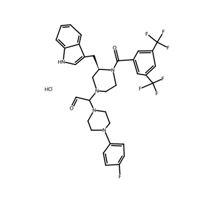 Cl.O=CC(N1CCN(c2ccc(F)cc2)CC1)N1CCN(C(=O)c2cc(C(F)(F)F)cc(C(F)(F)F)c2)[C@H](Cc2c[nH]c3ccccc23)C1